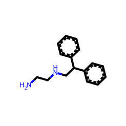 NCCNCC(c1ccccc1)c1ccccc1